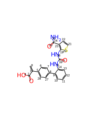 C=C(C(=O)O)c1ccc(-c2ccccc2NC(=O)Nc2sccc2C(N)=O)cc1